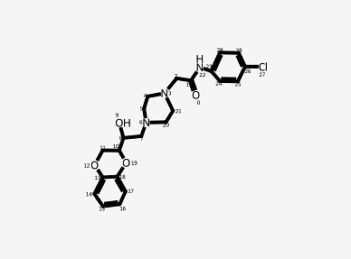 O=C(CN1CCN(CC(O)C2COc3ccccc3O2)CC1)Nc1ccc(Cl)cc1